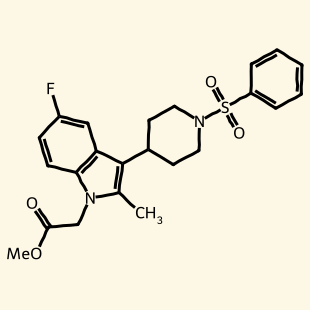 COC(=O)Cn1c(C)c(C2CCN(S(=O)(=O)c3ccccc3)CC2)c2cc(F)ccc21